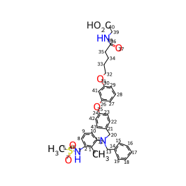 Cc1c(NS(C)(=O)=O)cccc1N(Cc1ccccc1)Cc1ccc(Oc2cccc(OCCCCC(=O)NCC(=O)O)c2)cc1